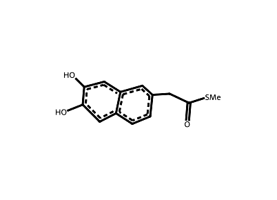 CSC(=O)Cc1ccc2cc(O)c(O)cc2c1